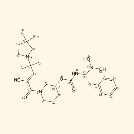 CC(C)(C=C(C#N)C(=O)N1CCC[C@@H](OC(=O)N[C@@H](Cc2ccccc2)B(O)O)C1)N1CCC(F)(F)C1